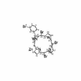 Brc1cccc(-c2cc3cc4nc(c(Br)c5ccc([nH]5)c(Br)c5nc(c(Br)c2[nH]3)C=C5)C=C4)c1.[Zn]